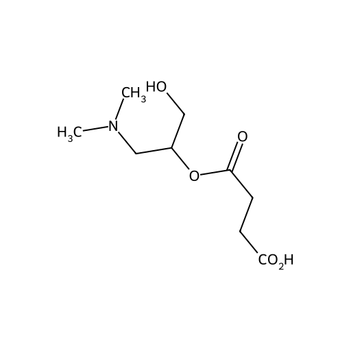 CN(C)CC(CO)OC(=O)CCC(=O)O